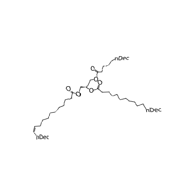 CCCCCCCCCC/C=C\CCCCCCCCCC(=O)OC[C@@H](COC(=O)CCCCCCCCCCCCCC)OC(=O)CCCCCCCCCCCCCCCCCCCC